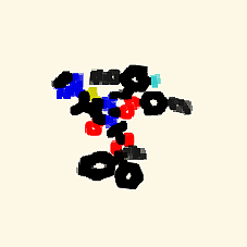 COc1ccc(F)cc1[C@H](Cn1c(=O)n(C(C)(C)C(=O)O[Si](c2ccccc2)(c2ccccc2)C(C)(C)C)c(=O)c2c(C)c(-n3nccn3)sc21)O[C@H]1CC[C@@H](C#N)CC1